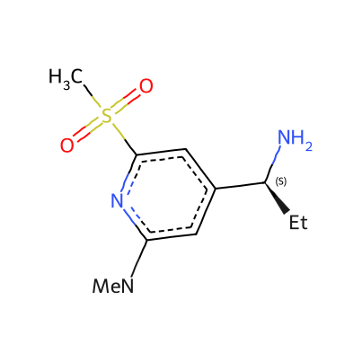 CC[C@H](N)c1cc(NC)nc(S(C)(=O)=O)c1